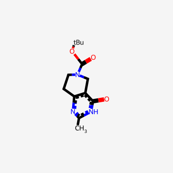 Cc1nc2c(c(=O)[nH]1)CN(C(=O)OC(C)(C)C)CC2